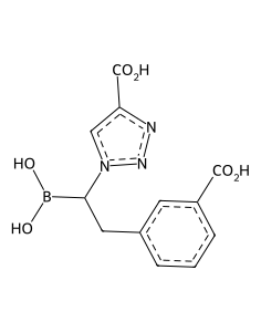 O=C(O)c1cccc(CC(B(O)O)n2cc(C(=O)O)nn2)c1